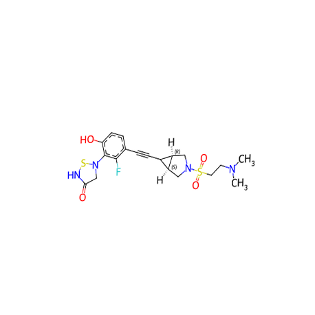 CN(C)CCS(=O)(=O)N1C[C@@H]2C(C#Cc3ccc(O)c(N4CC(=O)NS4)c3F)[C@@H]2C1